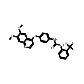 COc1cc2nccc(Oc3ccc(NC(=O)Nc4ccccc4C(F)(F)F)cc3)c2cc1OC